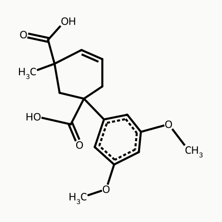 COc1cc(OC)cc(C2(C(=O)O)CC=CC(C)(C(=O)O)C2)c1